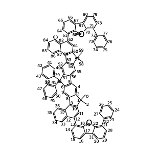 CC1(C)c2cc3c(cc2-c2c1cc(-c1cccc4c1oc1c(-c5ccccc5)cccc14)c1ccccc21)C(c1ccccc1)(c1ccccc1)c1cc2c(cc1-3)C(C)(C)c1cc(-c3cccc4c3oc3c(-c5ccccc5)cccc34)c3ccccc3c1-2